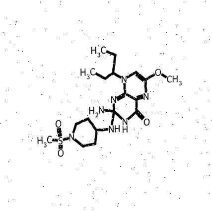 CCC(CC)N1C=C(OC)N=C2C(=O)NC(N)(NC3CCN(S(C)(=O)=O)CC3)N=C21